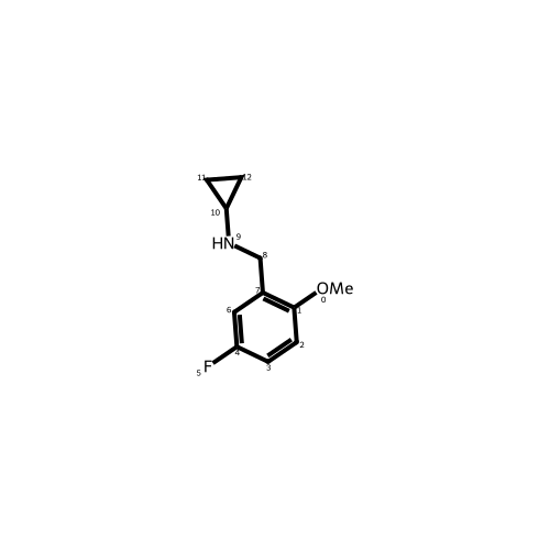 COc1ccc(F)cc1CNC1CC1